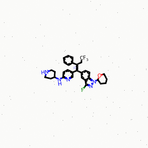 Fc1nn(C2CCCCO2)c2ccc(/C(=C(\CC(F)(F)F)c3ccccc3)c3ccc(NC4CCNCC4)nc3)cc12